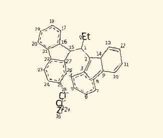 CCC(C1=c2ccccc2=C2C=CC=CC21)C1c2ccccc2-c2ccccc21.[Cl-].[Cl-].[Zr+2]